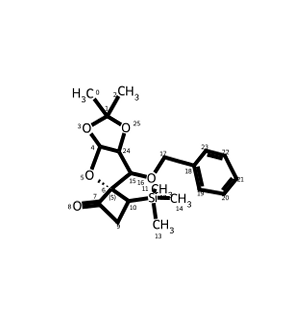 CC1(C)OC2O[C@]3(C(=O)CC3[Si](C)(C)C)C(OCc3ccccc3)C2O1